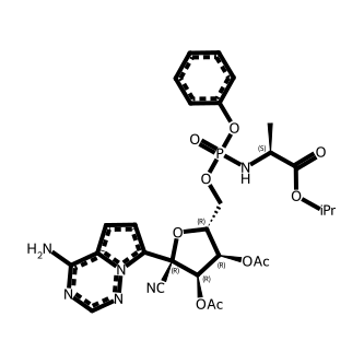 CC(=O)O[C@H]1[C@@H](OC(C)=O)[C@](C#N)(c2ccc3c(N)ncnn23)O[C@@H]1COP(=O)(N[C@@H](C)C(=O)OC(C)C)Oc1ccccc1